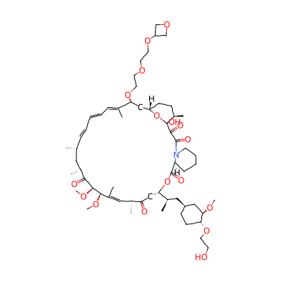 CO[C@@H]1/C(C)=C/[C@@H](C)C(=O)C[C@@H]([C@H](C)C[C@@H]2CC[C@@H](OCCO)[C@H](OC)C2)OC(=O)[C@@H]2CCCCN2C(=O)C(=O)[C@]2(O)O[C@@H](CC[C@H]2C)C[C@H](OCCOCCOC2COC2)/C(C)=C/C=C/C=C/[C@@H](C)C[C@@H](C)C(=O)[C@@H]1OC